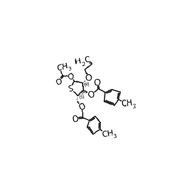 C=CCO[C@H]1C(OC(C)=O)S[C@@H](COC(=O)c2ccc(C)cc2)[C@@H]1OC(=O)c1ccc(C)cc1